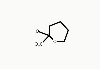 O=C(O)C1(O)CCCCO1